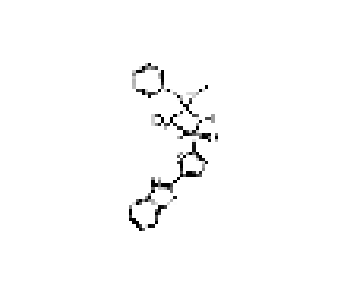 C[C@@H]1[C@H](c2ccccc2)[C@]1(NS(=O)(=O)c1ccc(-c2nc3ccccc3s2)s1)C(=O)O